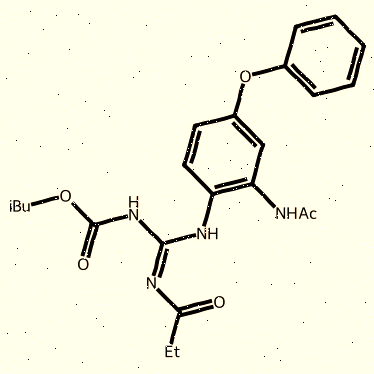 CCC(=O)N=C(NC(=O)OC(C)CC)Nc1ccc(Oc2ccccc2)cc1NC(C)=O